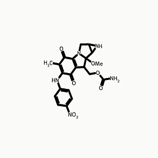 COC12C(COC(N)=O)C3=C(C(=O)C(C)=C(Nc4ccc([N+](=O)[O-])cc4)C3=O)N1CC1NC12